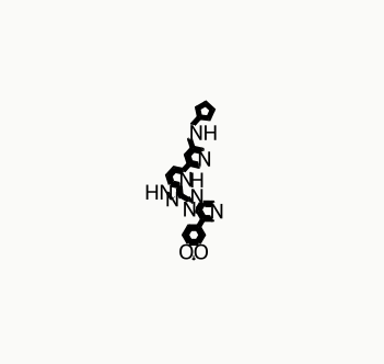 c1ncc(-c2ccc3[nH]nc(-c4nc5c(-c6ccc7c(c6)OCO7)cncc5[nH]4)c3n2)cc1CNCC1CCCC1